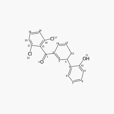 O=C(C1=[C]C(c2ccccc2O)CC=C1)c1c(Cl)cccc1Cl